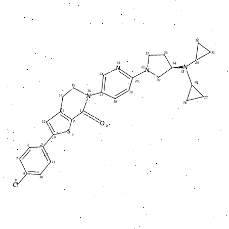 O=C1c2sc(-c3ccc(Cl)cc3)cc2CCN1c1ccc(N2CC[C@@H](N(C3CC3)C3CC3)C2)nc1